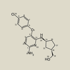 Nc1ncc(Oc2ccc(Cl)cc2)c(N[C@H]2CC[C@@H](CO)C2)n1